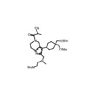 CNCCN(C)Cc1nn2c(c1C1CCC(COC)(COC)CC1)CN(C(=O)C(C)C#N)CC2